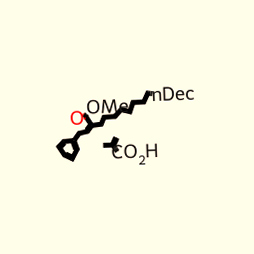 C=C(C)C(=O)O.CCCCCCCCCCCCCCCCCCC(=CCc1ccccc1)C(=O)OC